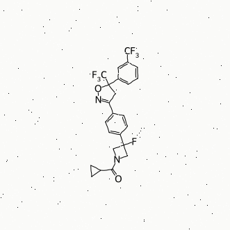 O=C(C1CC1)N1CC(F)(c2ccc(C3=NOC(c4cccc(C(F)(F)F)c4)(C(F)(F)F)C3)cc2)C1